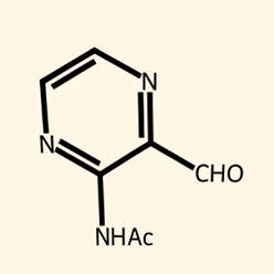 CC(=O)Nc1nccnc1C=O